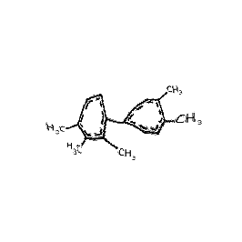 Cc1ccc(-c2ccc(C)c(C)c2C)cc1C